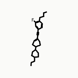 CCCCc1ccc(C#CC2=CCC(C3CCC(CCC)CC3)CC2)cc1F